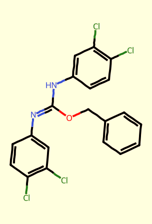 Clc1ccc(/N=C(/Nc2ccc(Cl)c(Cl)c2)OCc2ccccc2)cc1Cl